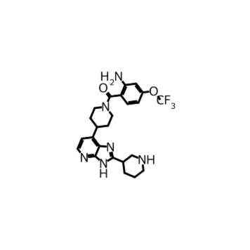 Nc1cc(OC(F)(F)F)ccc1C(=O)N1CCC(c2ccnc3[nH]c(C4CCCNC4)nc23)CC1